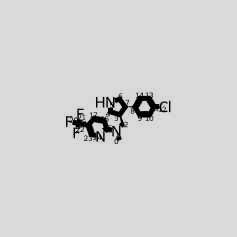 CN(C[C@H]1CNC[C@@H]1c1ccc(Cl)cc1)c1ccc(C(F)(F)F)cn1